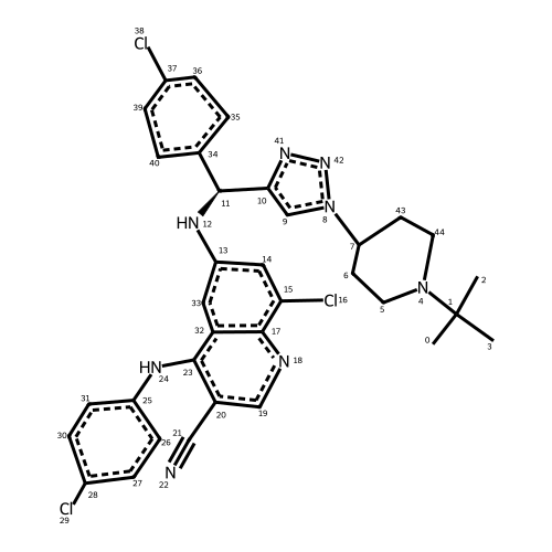 CC(C)(C)N1CCC(n2cc([C@@H](Nc3cc(Cl)c4ncc(C#N)c(Nc5ccc(Cl)cc5)c4c3)c3ccc(Cl)cc3)nn2)CC1